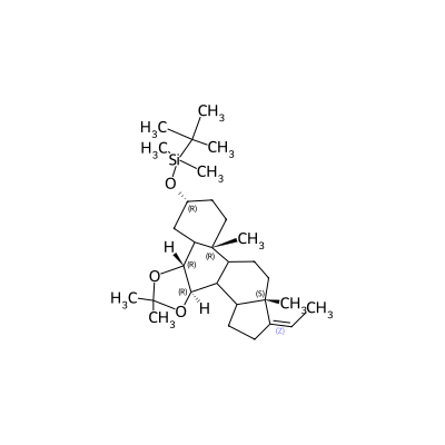 C/C=C1/CCC2C3C(CC[C@]12C)[C@@]1(C)CC[C@@H](O[Si](C)(C)C(C)(C)C)CC1[C@H]1OC(C)(C)O[C@H]31